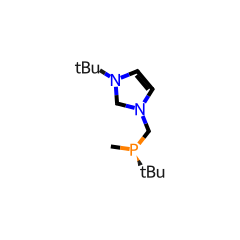 C[P@@](CN1C=CN(C(C)(C)C)C1)C(C)(C)C